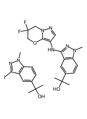 Cn1nc(I)c2cc(C(C)(C)O)ccc21.Cn1nc(Nc2cnn3c2OCC(F)(F)C3)c2cc(C(C)(C)O)ccc21